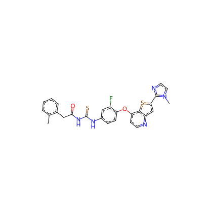 Cc1ccccc1CC(=O)NC(=S)Nc1ccc(Oc2ccnc3cc(-c4nccn4C)sc23)c(F)c1